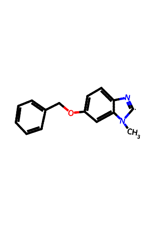 Cn1[c]nc2ccc(OCc3ccccc3)cc21